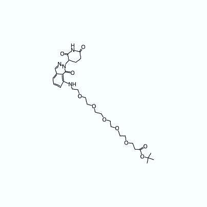 CC(C)(C)OC(=O)CCOCCOCCOCCOCCOCCNc1cccc2cnn(C3CCC(=O)NC3=O)c(=O)c12